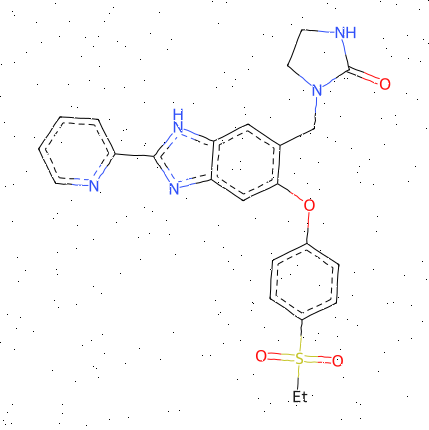 CCS(=O)(=O)c1ccc(Oc2cc3nc(-c4ccccn4)[nH]c3cc2CN2CCNC2=O)cc1